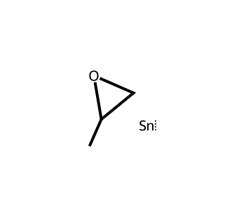 CC1CO1.[Sn]